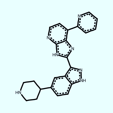 c1ccc(-c2ccnc3[nH]c(-c4n[nH]c5ccc(C6CCNCC6)cc45)nc23)nc1